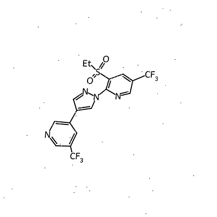 CCS(=O)(=O)c1cc(C(F)(F)F)cnc1-n1cc(-c2cncc(C(F)(F)F)c2)cn1